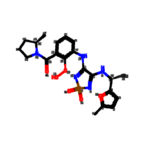 Cc1ccc([C@H](NC2=NS(=O)(=O)N=C2Nc2cccc(C(=O)N3CCC[C@H]3C)c2OO)C(C)(C)C)o1